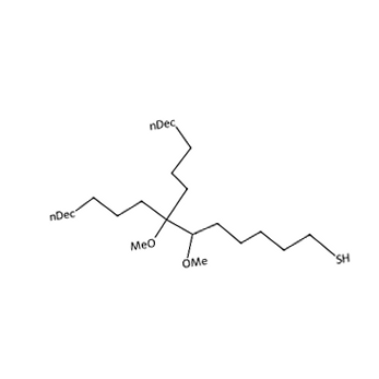 CCCCCCCCCCCCCC(CCCCCCCCCCCCC)(OC)[C](CCCCCS)OC